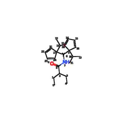 CCC(CC)C(=O)[NH][Y]([C]1(C(C)C)C=CC=C1)[C]1(C(C)C)C=CC=C1